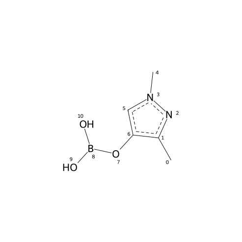 Cc1nn(C)cc1OB(O)O